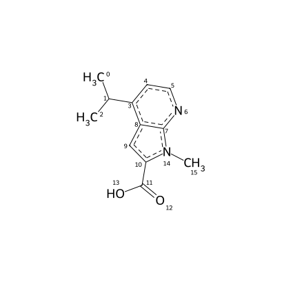 CC(C)c1ccnc2c1cc(C(=O)O)n2C